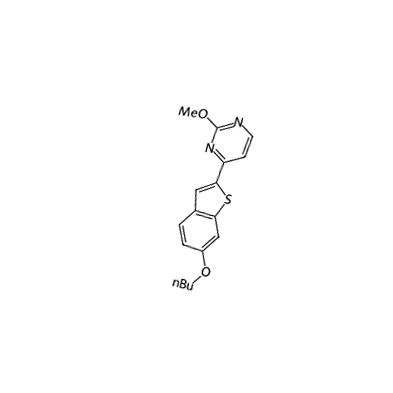 CCCCOc1ccc2cc(-c3ccnc(OC)n3)sc2c1